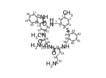 Cc1ccc2c(c1)CNC(=O)[C@H](Cc1c[nH]c3ccccc13)N(C)C(=O)[C@H](CN)NC(=O)[C@H](CCCN)NCc1ccccc1S2